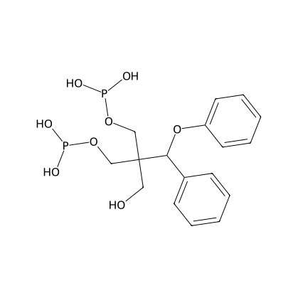 OCC(COP(O)O)(COP(O)O)C(Oc1ccccc1)c1ccccc1